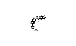 Cn1cc(-c2cc3cc(NC(=O)c4cc5ccoc5cn4)ncc3cn2)cn1